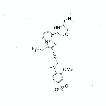 COc1cc(S(C)(=O)=O)ccc1NCC#Cc1nc2c([C@@H]3COC[C@H](CN(C)C)N3)cccn2c1CC(F)(F)F